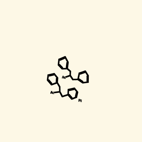 CC(=O)C(Cc1ccccc1)Cc1ccccc1.CC(=O)C(Cc1ccccc1)Cc1ccccc1.[Pt]